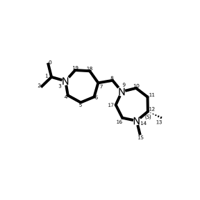 CC(C)N1CCCC(CN2CC[C@H](C)N(C)CC2)CC1